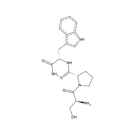 NC(=O)[C@H](Cc1c[nH]c2ccccc12)NC(=O)[C@@H]1CCCN1C(=O)[C@@H](N)CO